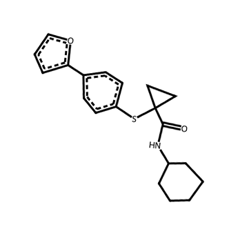 O=C(NC1CCCCC1)C1(Sc2ccc(-c3ccco3)cc2)CC1